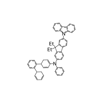 CCC1(CC)c2cc(N(C3=CCC(c4ccccc4C4C=CC=CC4)C=C3)c3ccccc3)ccc2-c2ccc(-n3c4ccccc4c4ccccc43)cc21